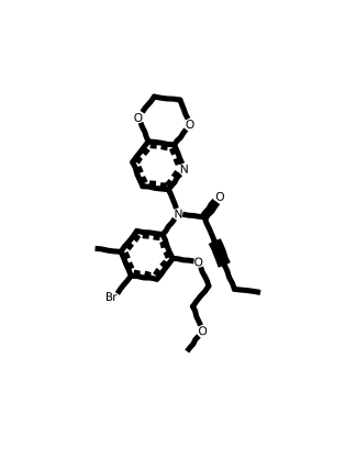 CCC#CC(=O)N(c1ccc2c(n1)OCCO2)c1cc(C)c(Br)cc1OCCOC